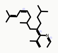 C=C(C)C(/N=C\C)=C(/CCC(C)C)CC(C)C/C=C\C=C(C)C